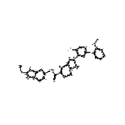 COc1ncccc1-c1ccc(O)c(-c2nc3cc(C(=O)Nc4ccc5[nH]c(CO)nc5c4)ccc3[nH]2)c1